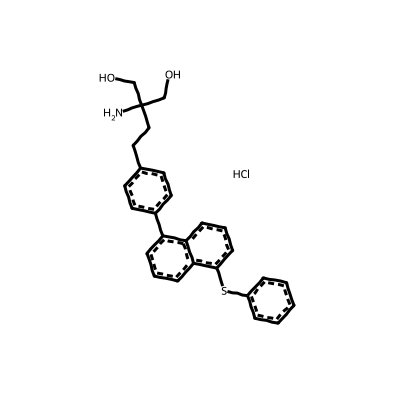 Cl.NC(CO)(CO)CCc1ccc(-c2cccc3c(Sc4ccccc4)cccc23)cc1